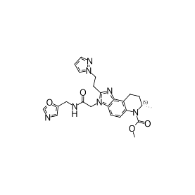 COC(=O)N1c2ccc3c(nc(CCn4cccn4)n3CC(=O)NCc3cnco3)c2CC[C@@H]1C